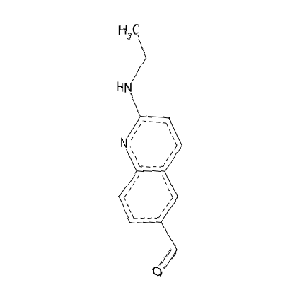 CCNc1ccc2cc(C=O)ccc2n1